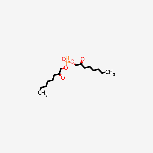 CCCCCCC(=O)CO[PH](=O)OCC(=O)CCCCCC